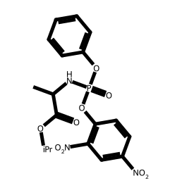 CC(C)OC(=O)C(C)NP(=O)(Oc1ccccc1)Oc1ccc([N+](=O)[O-])cc1[N+](=O)[O-]